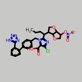 CCCC(c1nc(Cl)c(C(=O)O)n1Cc1ccc(-c2ccccc2-c2nnn[nH]2)cc1)C1COC2C(O[N+](=O)[O-])COC12